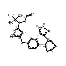 CC(C)(C)C(CC=S)c1n[nH]c(Cc2ccc(-c3ccccc3-c3nnn[nH]3)cc2)n1